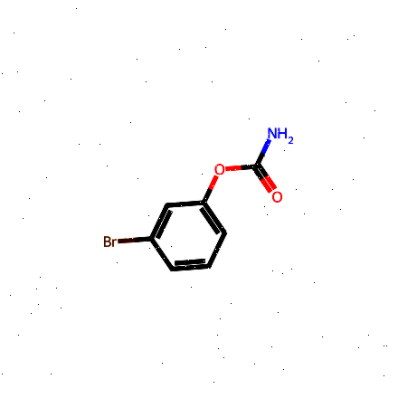 NC(=O)Oc1cccc(Br)c1